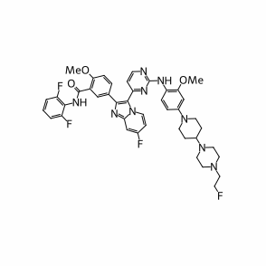 COc1cc(N2CCC(N3CCN(CCF)CC3)CC2)ccc1Nc1nccc(-c2c(-c3ccc(OC)c(C(=O)Nc4c(F)cccc4F)c3)nc3cc(F)ccn23)n1